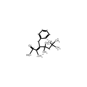 CC(C(=O)O)=C(Cc1ccccc1)C(C)(C)CC(C)(C)C